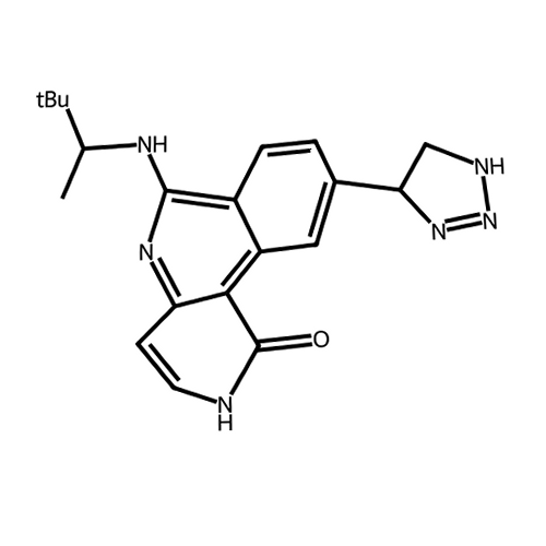 CC(Nc1nc2cc[nH]c(=O)c2c2cc(C3CNN=N3)ccc12)C(C)(C)C